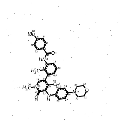 Cc1c(NC(=O)c2ccc(C(C)(C)C)cc2)cccc1-c1cn(C)c(=O)c(Nc2ccc(N3CCOCC3)cc2)c1C